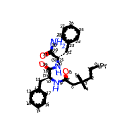 CC(C)CCC(C)(C)CC(=O)N[C@@H](Cc1ccccc1)C(=O)N[C@@H](Cc1ccccc1)C(N)=O